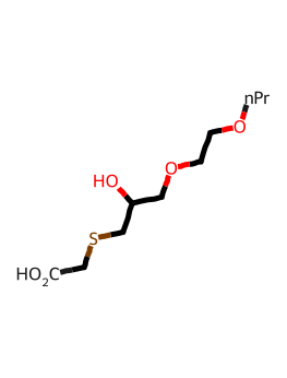 CCCOCCOCC(O)CSCC(=O)O